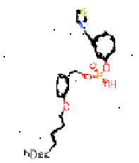 CCCCCCCCCCCCCCOc1cccc(COP(=O)(O)Oc2cccc(C[n+]3ccsc3)c2)c1